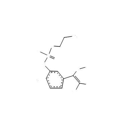 CC(C)OC(=C(C(C)C)C(C)C)c1cccc(OP(=O)([O-])OCCC#N)c1.[Na+]